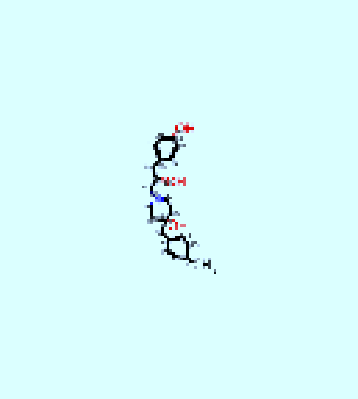 Cc1ccc(CC2(O)CCN(CC(O)Cc3ccc(O)cc3)CC2)cc1